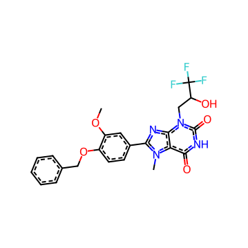 COc1cc(-c2nc3c(c(=O)[nH]c(=O)n3CC(O)C(F)(F)F)n2C)ccc1OCc1ccccc1